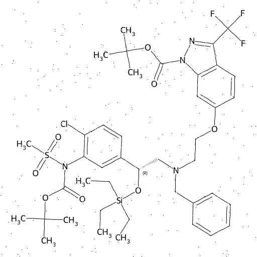 CC[Si](CC)(CC)O[C@@H](CN(CCOc1ccc2c(C(F)(F)F)nn(C(=O)OC(C)(C)C)c2c1)Cc1ccccc1)c1ccc(Cl)c(N(C(=O)OC(C)(C)C)S(C)(=O)=O)c1